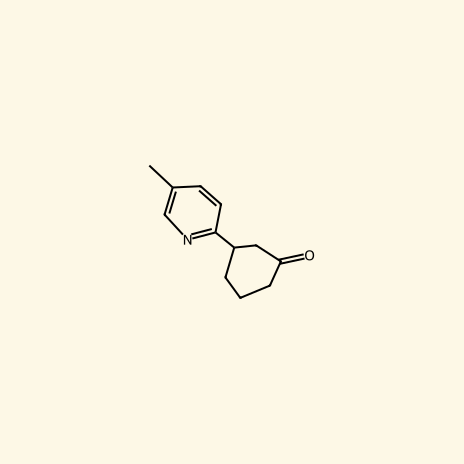 Cc1ccc(C2CCCC(=O)C2)nc1